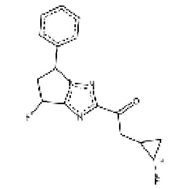 O=C(CC1C[C@@H]1F)c1nc2n(n1)C(c1ccccc1)CC2F